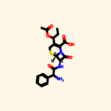 CCC(OC(C)=O)C1=C(C(=O)O)N2C(=O)[C@@H](NC(=O)C(N)c3ccccc3)[C@H]2SC1